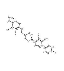 CCCCCCOc1ccc(/C=C/C2CCC(c3ccc(-c4ccc(C)cc4)c(F)c3F)CC2)c(F)c1F